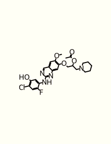 COc1cc2cnc(Nc3cc(O)c(Cl)cc3F)nc2cc1OCC(CN1CCCCC1)OC(C)=O